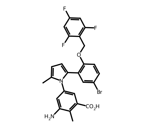 Cc1c(N)cc(-n2c(C)ccc2-c2cc(Br)ccc2OCc2c(F)cc(F)cc2F)cc1C(=O)O